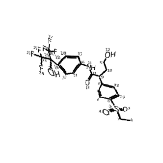 CCS(=O)(=O)c1ccc(C(CCO)C(=O)Nc2ccc(C(O)(C(F)(F)F)C(F)(F)F)cc2)cc1